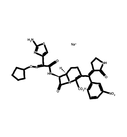 Nc1nc(C(=NOC2CCCC2)C(=O)N[C@@H]2C(=O)N3C(C(=O)O)=C(C(=C4CCNC4=O)c4cccc([N+](=O)[O-])c4)CC[C@H]23)cs1.[Na+]